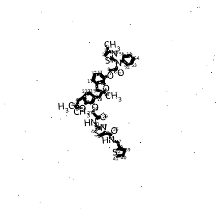 Cc1csc(N(C(=O)COc2cccc3c2OC(C)(Cc2ccc4c(c2OCC(=O)Nc2nc(C(=O)NCc5cccs5)cs2)OC(C)(C)C4)C3)c2ccccc2)n1